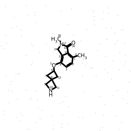 Cc1ccc(OC2CC3(CNC3)C2)c2c1C(=O)N(C)C2